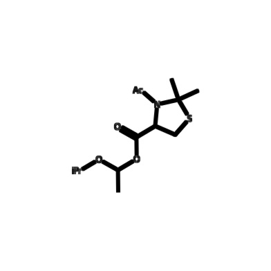 CC(=O)N1C(C(=O)OC(C)OC(C)C)CSC1(C)C